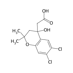 CC1(C)CC(O)(CC(=O)O)c2cc(Cl)c(Cl)cc2O1